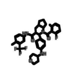 Cc1ccc(NC(=O)C2CC3CCCC3N(C(=O)c3c(C)cccc3F)C2c2ccc(NC3CCOCC3)cc2)cc1C(F)(F)F